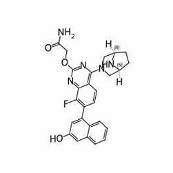 NC(=O)COc1nc(N2C[C@H]3CC[C@@H](C2)N3)c2ccc(-c3cc(O)cc4ccccc34)c(F)c2n1